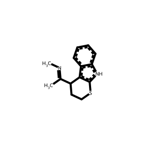 CN=C(C)C1CCSc2[nH]c3ccccc3c21